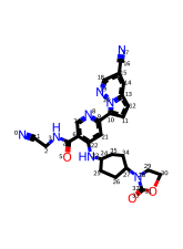 N#CCNC(=O)c1cnc(-c2ccc3cc(C#N)cnn23)cc1NC1CCC(N2CCOC2=O)CC1